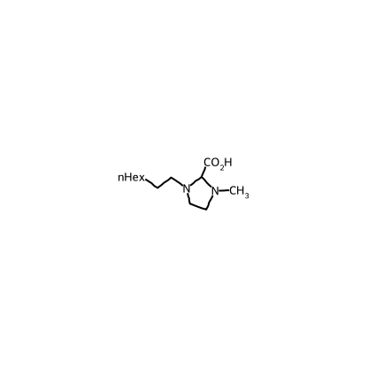 CCCCCCCCN1CCN(C)C1C(=O)O